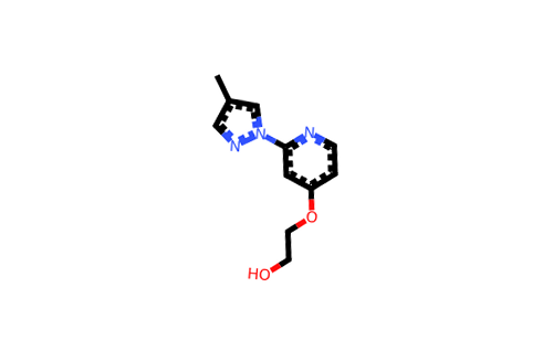 Cc1cnn(-c2cc(OCCO)ccn2)c1